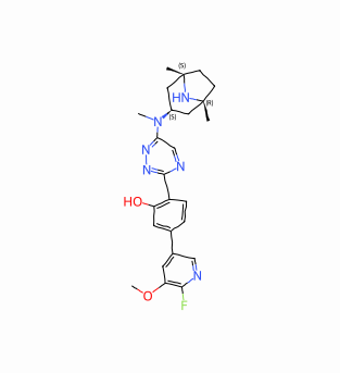 COc1cc(-c2ccc(-c3ncc(N(C)[C@H]4C[C@]5(C)CC[C@](C)(C4)N5)nn3)c(O)c2)cnc1F